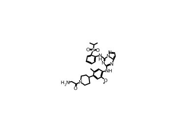 COc1cc(C2CCN(C(=O)CN)CC2)c(C)cc1Nc1nc(Nc2ccccc2S(=O)(=O)C(C)C)n2nccc2n1